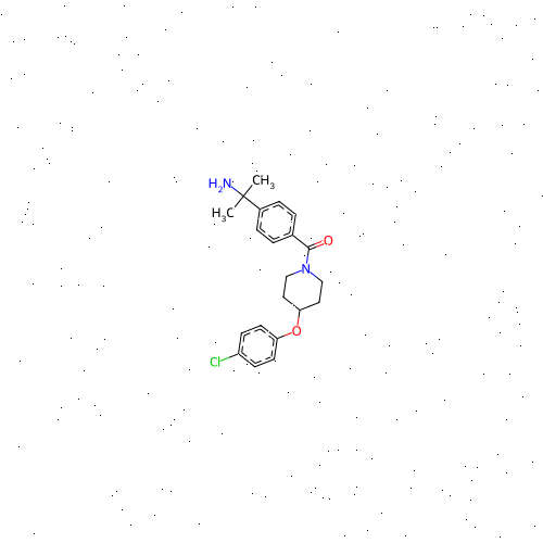 CC(C)(N)c1ccc(C(=O)N2CCC(Oc3ccc(Cl)cc3)CC2)cc1